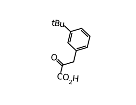 CC(C)(C)c1cccc(CC(=O)C(=O)O)c1